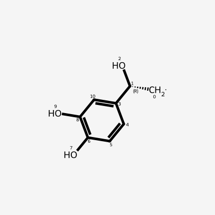 [CH2][C@@H](O)c1ccc(O)c(O)c1